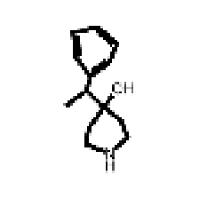 CC(c1ccccc1)C1(O)CCNCC1